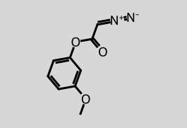 COc1cccc(OC(=O)C=[N+]=[N-])c1